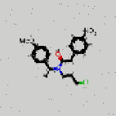 COc1ccc([C@H](C)N(CCCCl)C(=O)Cc2ccc([N+](=O)[O-])cc2)cc1